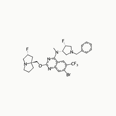 CN(c1nc(OC[C@@]23CCCN2C[C@H](F)C3)nc2cc(Br)c(C(F)(F)F)cc12)[C@H]1CN(Cc2ccccc2)C[C@H]1F